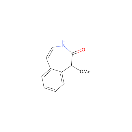 COC1C(=O)NC=Cc2ccccc21